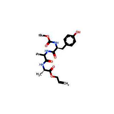 C=CCOC(=O)[C@H](C)NC(=O)C(NC(=O)[C@H](Cc1ccc(O)cc1)NC(=O)OC(C)(C)C)C(C)C